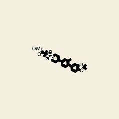 COC(=O)C(C)(C)S(=O)(=O)N1CC=C(c2ccc(-c3ccc4c(c3)OC(C)(C)O4)c(C)c2)CC1